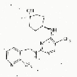 C[C@]1(O)CC[C@@H](Nc2nc(NCc3cccnc3C(F)(F)F)ncc2C(F)(F)F)CC1